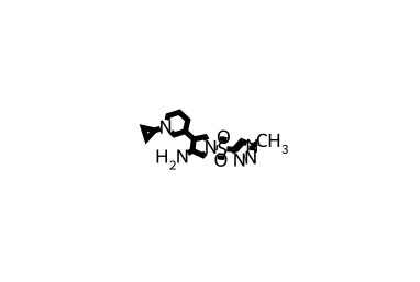 Cn1cc(S(=O)(=O)N2CC(N)C(C3CCCN(C4CC4)C3)C2)nn1